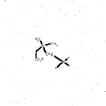 C[N+](C)(C)CC(=O)O.F[B-](F)(F)F